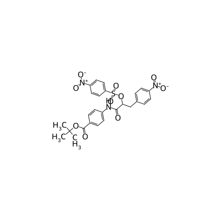 CC(C)(C)OC(=O)c1ccc(NC(=O)C(Cc2ccc([N+](=O)[O-])cc2)OS(=O)(=O)c2ccc([N+](=O)[O-])cc2)cc1